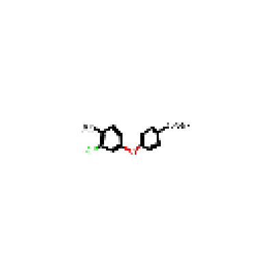 COc1ccc(Oc2ccc(C(C)=O)c(Cl)c2)cc1